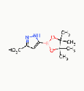 CC1(C)OB(c2cc(C(=O)O)n[nH]2)OC1(C)C